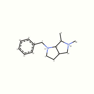 CC1C2C(CCN2Cc2ccccc2)CN1C